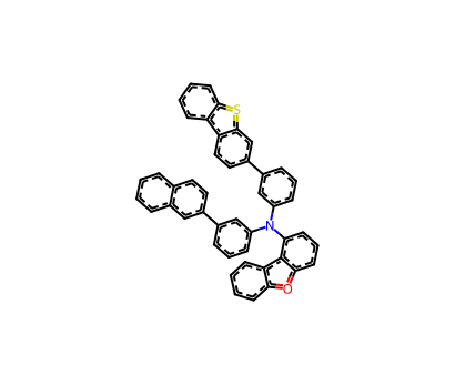 c1cc(-c2ccc3ccccc3c2)cc(N(c2cccc(-c3ccc4c(c3)sc3ccccc34)c2)c2cccc3oc4ccccc4c23)c1